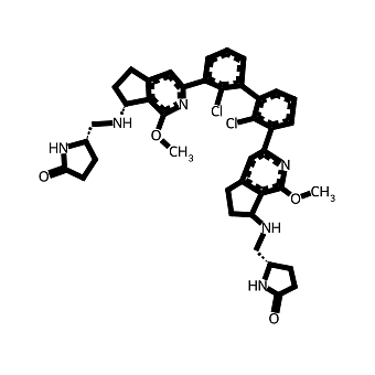 COc1nc(-c2cccc(-c3cccc(-c4cc5c(c(OC)n4)[C@H](NC[C@@H]4CCC(=O)N4)CC5)c3Cl)c2Cl)cc2c1C(NC[C@@H]1CCC(=O)N1)CC2